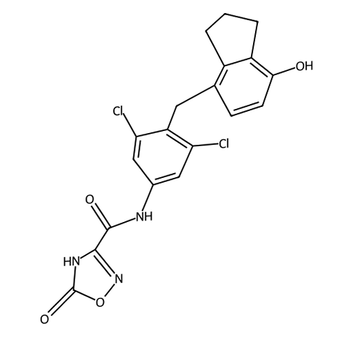 O=C(Nc1cc(Cl)c(Cc2ccc(O)c3c2CCC3)c(Cl)c1)c1noc(=O)[nH]1